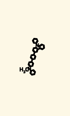 CN(c1ccccc1)c1ccc(-c2ccc(-c3ccc4c(c3)c3ccccc3n4-c3ccccc3)cc2)cc1